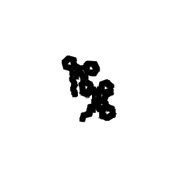 CCCCn1c2ccccc2c2c3ccccc3n(-c3cccc(-n4c5ccccc5c5c6ccccc6n(CCCC)c54)c3)c21